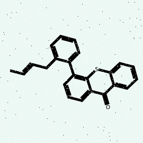 CC=CCc1ccccc1-c1cccc2c(=O)c3ccccc3sc12